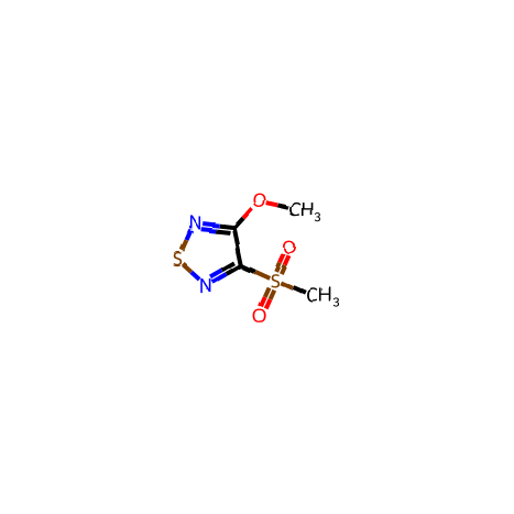 COc1nsnc1S(C)(=O)=O